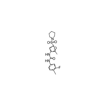 Cc1ccc(NC(=O)Nc2cc(S(=O)(=O)N3CCCCC3)oc2C)cc1F